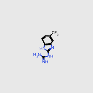 N=C(N)Nc1nc2cc(C(F)(F)F)ccc2[nH]1